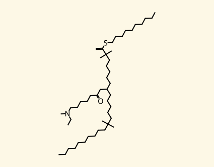 C=C(SCCCCCCCCCC)C(C)(C)CCCCCC(CCCCCC(C)(C)CCCCCCCCCC)CC(=O)CCCCCN(C)CC